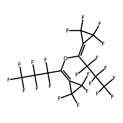 FC(F)(F)C(F)(F)C(F)(F)C(OC(=C1C(F)(F)C1(F)F)C(F)(F)C(F)(F)C(F)(F)F)=C1C(F)(F)C1(F)F